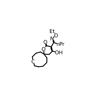 CCCC(=NOCC)C1=C(O)CC2(CCCCCCCCC2)OC1=O